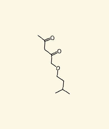 CC(=O)CC(=O)COCCC(C)C